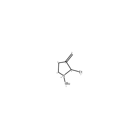 C=C1CCN(C(C)(C)C)C1CC